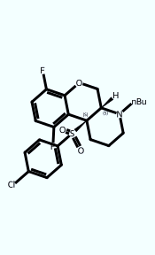 CCCCN1CCC[C@]2(S(=O)(=O)c3ccc(Cl)cc3)c3c(F)ccc(F)c3OC[C@H]12